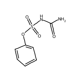 NC(=O)NS(=O)(=O)Oc1ccccc1